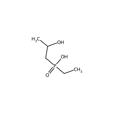 CCP(=O)(O)CC(C)O